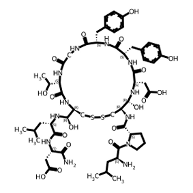 CC(C)C[C@H](N[C@H](O)[C@@H]1CSSC[C@H](NC(=O)[C@@H]2CCCN2C(=O)[C@@H](N)CC(C)C)[C@@H](O)N[C@@H](CC(=O)O)C(=O)N[C@@H](Cc2ccc(O)cc2)C(=O)N[C@@H](Cc2ccc(O)cc2)C(=O)NCC(=O)N[C@@H](C(C)O)C(=O)N1)C(=O)N[C@@H](CC(=O)O)C(N)=O